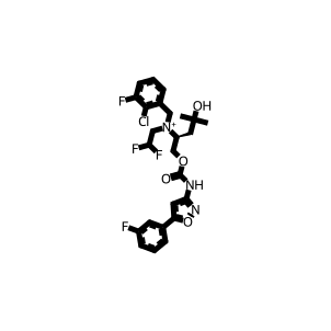 CC(C)(O)C[C@@H](COC(=O)Nc1cc(-c2cccc(F)c2)on1)[N+](Cc1cccc(F)c1Cl)CC(F)F